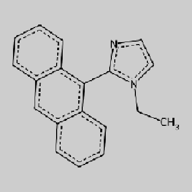 CCn1ccnc1-c1c2ccccc2cc2ccccc12